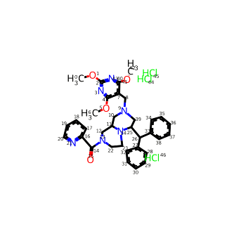 COc1nc(OC)c(CN2CC3CN(C(=O)c4ccccn4)CCN3C(C(c3ccccc3)c3ccccc3)C2)c(OC)n1.Cl.Cl.Cl